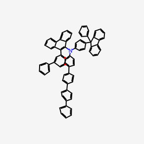 c1ccc(-c2ccc(-c3ccc(-c4ccc(N(c5ccc(C6(c7ccccc7)c7ccccc7-c7ccccc76)cc5)c5c(-c6cccc(-c7ccccc7)c6)c6ccccc6c6ccccc56)cc4)cc3)cc2)cc1